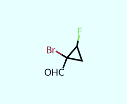 O=CC1(Br)CC1F